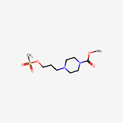 CC(C)(C)OC(=O)N1CCN(CCCOS(C)(=O)=O)CC1